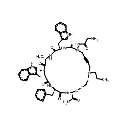 CCCN1CC#CCN(NC(=O)CN)C(=O)N[C@H](Cc2c[nH]c3ccccc23)C(=O)N[C@@H](C)C(=O)N[C@@H](Cc2c[nH]c3ccccc23)C(=O)N[C@H](Cc2ccccc2)C(=O)N[C@H](C(N)=O)CCCC1